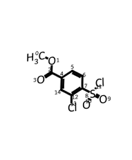 COC(=O)c1ccc(S(=O)(=O)Cl)c(Cl)c1